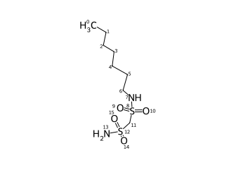 CCCCCCCNS(=O)(=O)CS(N)(=O)=O